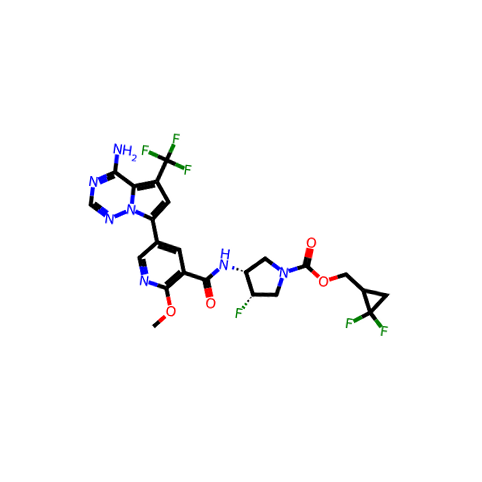 COc1ncc(-c2cc(C(F)(F)F)c3c(N)ncnn23)cc1C(=O)N[C@@H]1CN(C(=O)OCC2CC2(F)F)C[C@@H]1F